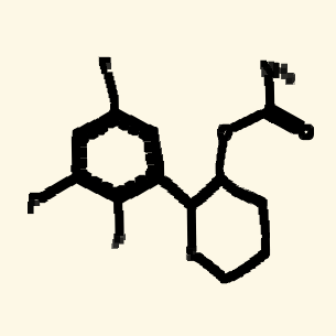 NC(=O)OC1CCCSC1c1cc(F)cc(F)c1F